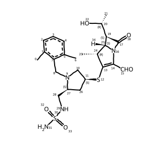 Cc1cccc(C)c1CN1C[C@@H](SC2=C(C=O)N3C(=O)[C@H]([C@@H](C)O)[C@H]3[C@H]2C)C[C@H]1CNS(N)(=O)=O